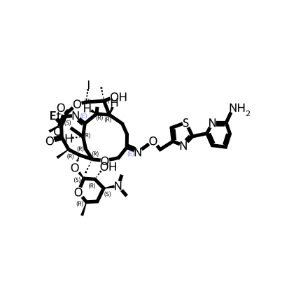 CCC(=O)/N=C1\[C@H](C)C[C@@]2(C)OC/C(=N/OCc3csc(-c4cccc(N)n4)n3)CC[C@H]([C@H]1C)[C@](C)(O)[C@@H](I)OC(=O)[C@@](C)(F)C(=O)[C@H](C)[C@H]2O[C@@H]1O[C@H](C)C[C@H](N(C)C)[C@H]1O